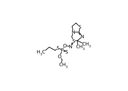 CCCSP(=S)(OCC)ON=S1CN2CCSC2=NC1(C)C